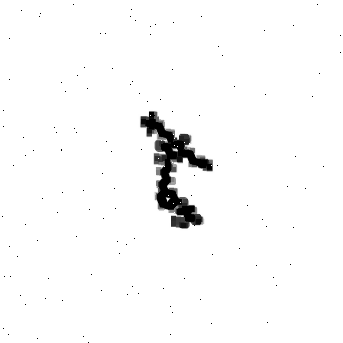 CC(C)(Oc1cccc(CCCCNc2nn(CCC#N)c(=O)n(CCCC(F)(F)F)c2=O)c1)C(=O)O